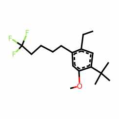 CCc1cc(C(C)(C)C)c(OC)cc1CCCCC(F)(F)F